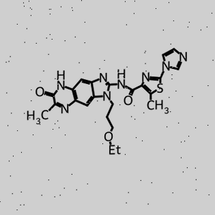 CCOCCCn1c(NC(=O)c2nc(-n3ccnc3)sc2C)nc2cc3[nH]c(=O)c(C)nc3cc21